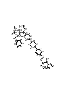 C=CCC(F)[C@@H](COC)COc1ccc(N2CCN(c3ccc(N(C=N)C(=O)N[C@@H](CC)[C@H](C)OCc4ccccc4)cc3)CC2)cc1